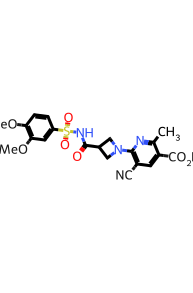 CCOC(=O)c1cc(C#N)c(N2CC(C(=O)NS(=O)(=O)c3ccc(OC)c(OC)c3)C2)nc1C